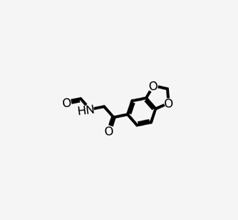 O=CNCC(=O)c1ccc2c(c1)OCO2